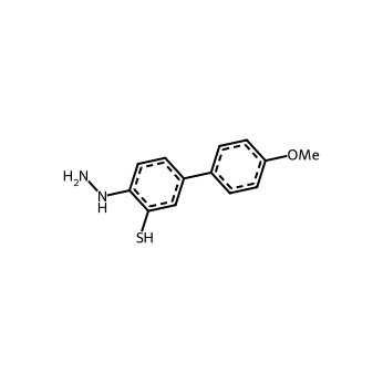 COc1ccc(-c2ccc(NN)c(S)c2)cc1